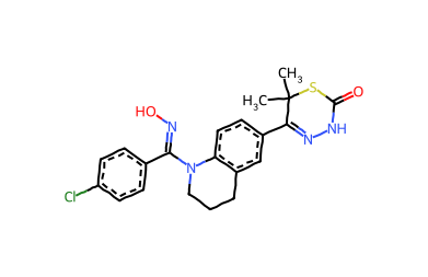 CC1(C)SC(=O)NN=C1c1ccc2c(c1)CCCN2C(=NO)c1ccc(Cl)cc1